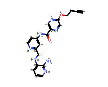 C#CCCOc1cnc(C(=O)Nc2ccnc(CNc3cccnc3N)c2)cn1